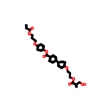 C=CC(=O)OCCCOc1ccc(OC(=O)c2ccc(-c3ccc(OCCCOC(=O)C(=C)CO)cc3)cc2)cc1